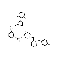 Cc1cccc(C)c1-c1cc2nc(n1)NS(=O)(=O)c1cccc(c1)C(=O)NCC1(CCN(C(=O)C3CCCCN3Cc3ccc(F)cc3)CC1)CO2